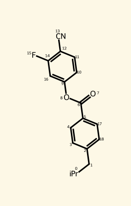 CC(C)Cc1ccc(C(=O)Oc2ccc(C#N)c(F)c2)cc1